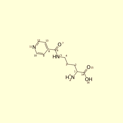 NC(CCCNC(=O)c1ccncc1)C(=O)O